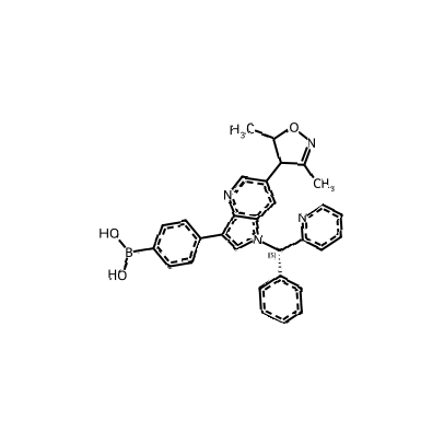 CC1=NOC(C)C1c1cnc2c(-c3ccc(B(O)O)cc3)cn([C@@H](c3ccccc3)c3ccccn3)c2c1